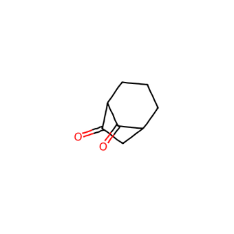 O=C1CC2CCCC1C2=O